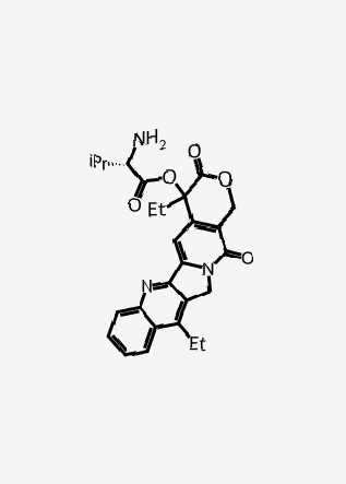 CCc1c2c(nc3ccccc13)-c1cc3c(c(=O)n1C2)COC(=O)C3(CC)OC(=O)[C@@H](N)C(C)C